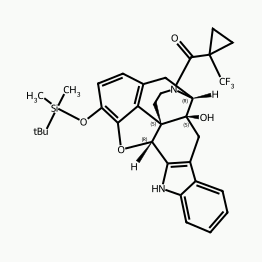 CC(C)(C)[Si](C)(C)Oc1ccc2c3c1O[C@H]1c4[nH]c5ccccc5c4C[C@@]4(O)[C@@H](C2)N(C(=O)C2(C(F)(F)F)CC2)CC[C@]314